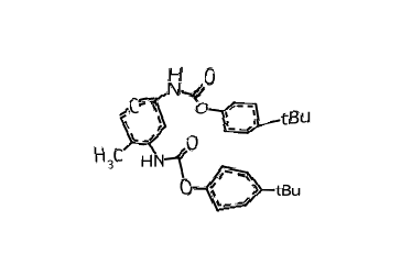 Cc1ccc(NC(=O)Oc2ccc(C(C)(C)C)cc2)cc1NC(=O)Oc1ccc(C(C)(C)C)cc1